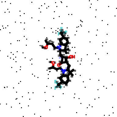 COC(C)CCN1/C(=C\C2=C(O)C(=C\C3=[N+](CCC(C)OC)c4cc(C(F)(F)F)ccc4C3(C)C)/C2=O)C(C)(C)c2ccc(C(F)(F)F)cc21